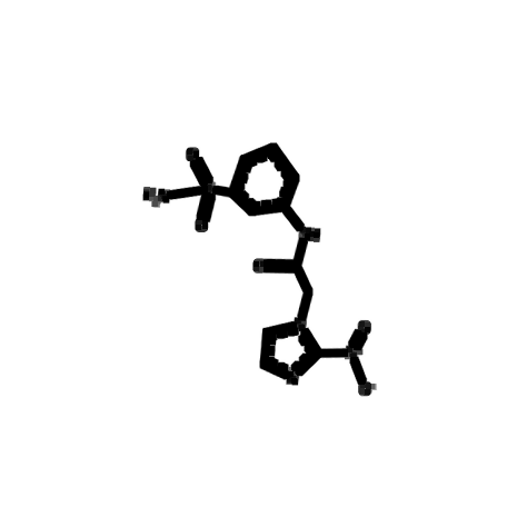 NS(=O)(=O)c1cccc(NC(=O)Cn2ccnc2[N+](=O)[O-])c1